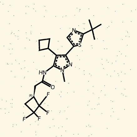 Cn1nc(-c2cnc(C(C)(C)C)s2)c(C2CCC2)c1NC(=O)C[C@@H]1CC(F)(F)C1(F)F